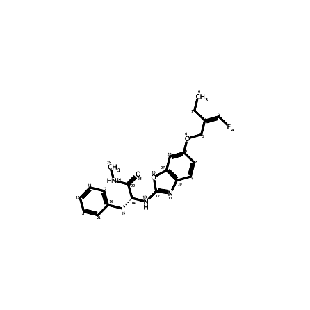 CC/C(=C/F)COc1ccc2nc(N[C@H](Cc3ccccc3)C(=O)NC)oc2c1